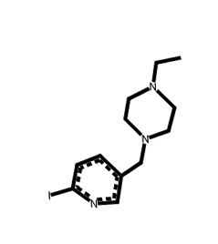 CCN1CCN(Cc2ccc(I)nc2)CC1